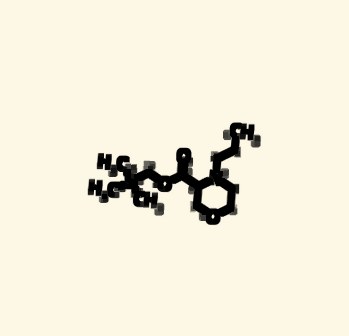 CCCN1CCOCC1C(=O)OC[Si](C)(C)C